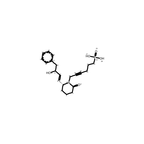 O=C1CCC[C@H](/C=C/C(O)Cc2ccccc2)N1CC#CCCCP(=O)(O)O